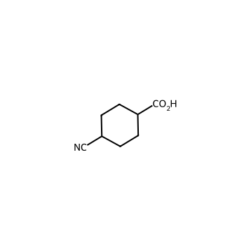 N#CC1CCC(C(=O)O)CC1